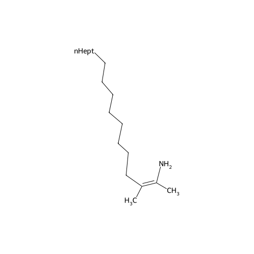 CCCCCCCCCCCCCCCC(C)=C(C)N